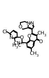 Cc1cc([C@@H](C)Oc2ccc(Cl)nc2C#N)c2oc(-c3cnn4c3COCC4)c(C)c(=O)c2c1